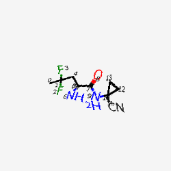 CC(F)(F)C[C@H](N)C(=O)NC1(C#N)CC1